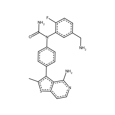 Cc1sc2ccnc(N)c2c1-c1ccc(N(C(N)=O)c2cc(CN)ccc2F)cc1